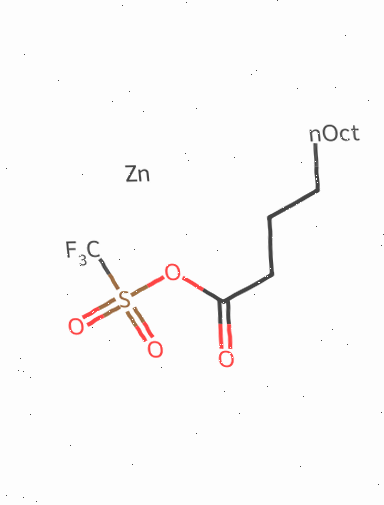 CCCCCCCCCCCC(=O)OS(=O)(=O)C(F)(F)F.[Zn]